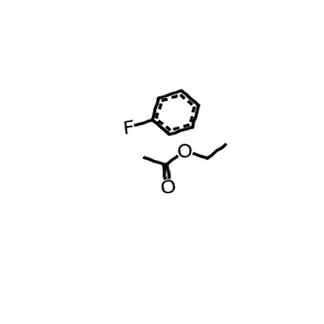 CCOC(C)=O.Fc1ccccc1